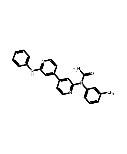 NC(=O)N(c1cccc(C(F)(F)F)c1)c1cc(-c2ccnc(Nc3ccccc3)c2)ccn1